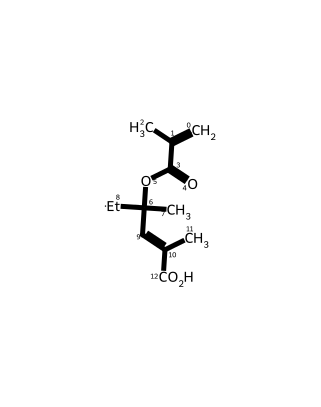 C=C(C)C(=O)OC(C)([CH]C)C=C(C)C(=O)O